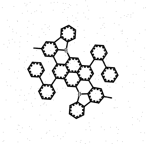 Cc1cc2c3c(c1)-c1cc(-c4ccccc4-c4ccccc4)c4cc5c6c(cc(-c7ccccc7-c7ccccc7)c7cc(c1c4c76)B3c1ccccc1-2)-c1cc(C)cc2c1B5c1ccccc1-2